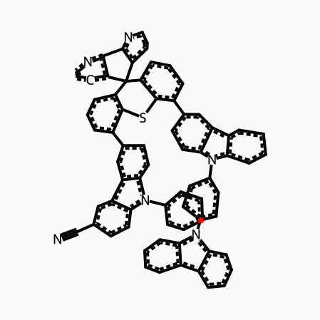 N#Cc1ccc2c(c1)c1cc(-c3cccc4c3Sc3c(-c5ccc6c(c5)c5ccccc5n6-c5ccc(-n6c7ccccc7c7ccccc76)cc5)cccc3C43c4cccnc4-c4ncccc43)ccc1n2-c1ccccc1